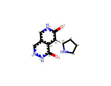 O=c1[nH]cc2cn[nH]c(=O)c2c1[C@@H]1CCCN1